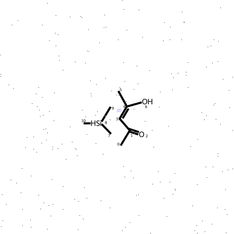 CC(=O)/C=C(/C)O.C[SiH](C)C